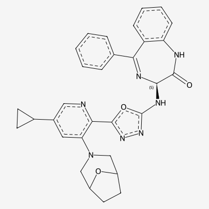 O=C1Nc2ccccc2C(c2ccccc2)=N[C@@H]1Nc1nnc(-c2ncc(C3CC3)cc2N2CC3CCC(C2)O3)o1